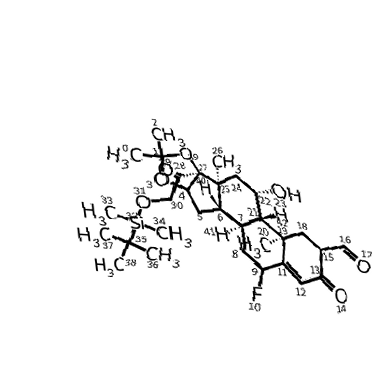 CC1(C)OC2C[C@H]3[C@@H]4CC(F)C5=CC(=O)C(C=O)C[C@]5(C)[C@H]4[C@@H](O)C[C@]3(C)[C@]2(C(=O)CO[Si](C)(C)C(C)(C)C)O1